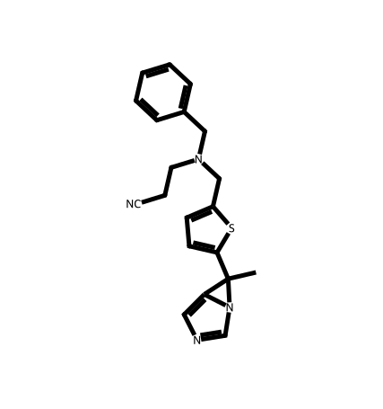 CC1(c2ccc(CN(CCC#N)Cc3ccccc3)s2)c2cncn21